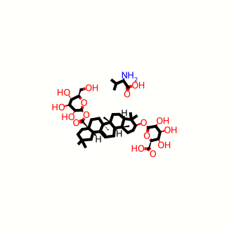 CC(C)[C@H](N)C(=O)O.CC1(C)CC[C@]2(C(=O)O[C@@H]3O[C@H](CO)[C@@H](O)[C@H](O)[C@H]3O)CC[C@]3(C)C(=CC[C@@H]4[C@@]5(C)CC[C@H](O[C@@H]6O[C@H](C(=O)O)[C@@H](O)[C@H](O)[C@H]6O)C(C)(C)[C@@H]5CC[C@]43C)[C@@H]2C1